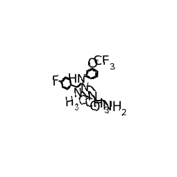 CC1(C)c2nc(-c3ccc(F)cc3)c(Nc3cccc(OC(F)(F)F)c3)n2CCN1C(=O)CN